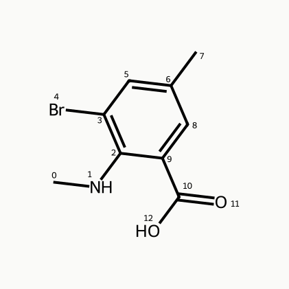 CNc1c(Br)cc(C)cc1C(=O)O